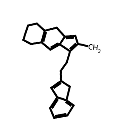 CC1=C(CCC2=Cc3ccccc3C2)C2=CC3=C(CCCC3)CC2=C1